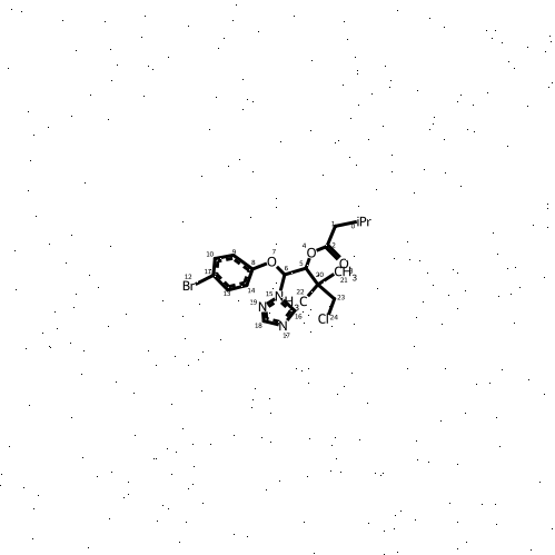 CC(C)CC(=O)OC(C(Oc1ccc(Br)cc1)n1cncn1)C(C)(C)CCl